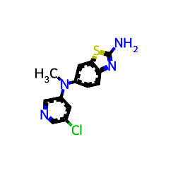 CN(c1cncc(Cl)c1)c1ccc2nc(N)sc2c1